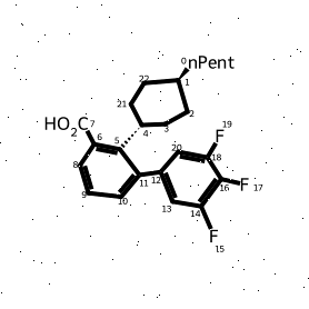 CCCCC[C@H]1CC[C@H](c2c(C(=O)O)cccc2-c2cc(F)c(F)c(F)c2)CC1